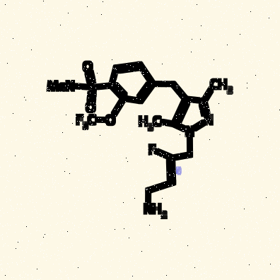 CNS(=O)(=O)c1ccc(Cc2c(C)nn(C/C(F)=C/CN)c2C)cc1OC(F)(F)F